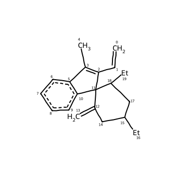 C=CC1=C(C)c2ccccc2C12C(=C)CC(CC)CC2CC